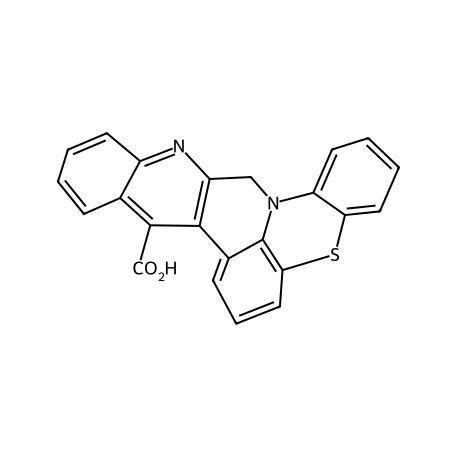 O=C(O)c1c2c(nc3ccccc13)CN1c3ccccc3Sc3cccc-2c31